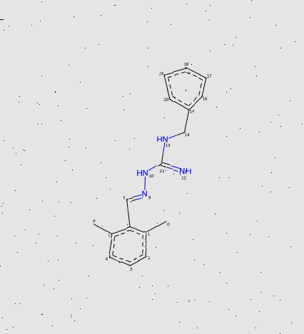 Cc1cccc(C)c1C=NNC(=N)NCc1ccccc1